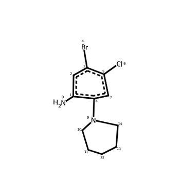 Nc1cc(Br)c(Cl)cc1N1CCCCC1